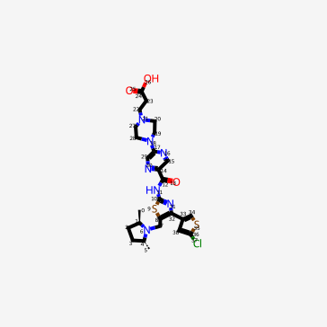 C[C@@H]1CC[C@@H](C)N1Cc1sc(NC(=O)c2cnc(N3CCN(CCC(=O)O)CC3)cn2)nc1-c1csc(Cl)c1